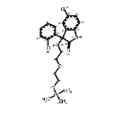 C[Si](C)(C)OCCOCCNC1(c2ccccc2Cl)C(=O)Nc2ccc(Cl)cc21